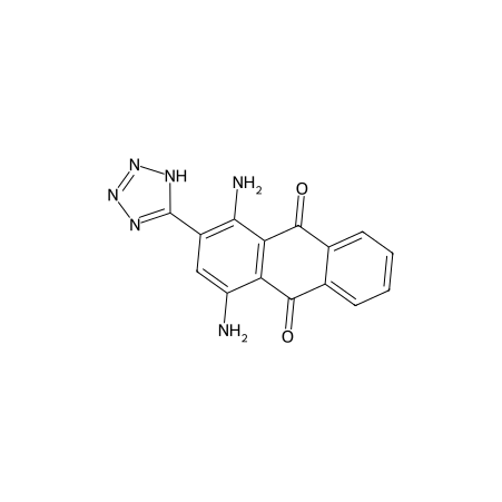 Nc1cc(-c2nnn[nH]2)c(N)c2c1C(=O)c1ccccc1C2=O